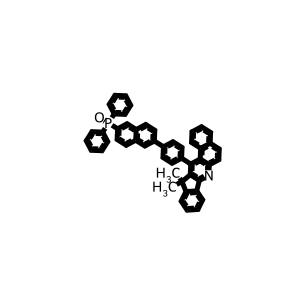 CC1(C)c2ccccc2-c2nc3ccc4ccccc4c3c(-c3ccc(-c4ccc5cc(P(=O)(c6ccccc6)c6ccccc6)ccc5c4)cc3)c21